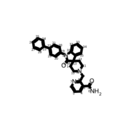 NC(=O)c1cccnc1CN1CCC2(CC1)C(=O)N(c1ccc(-c3ccccc3)cc1)c1ccccc12